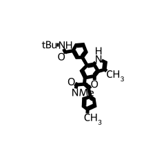 CNC(=O)c1c(-c2ccc(C)cc2)oc2c1cc(-c1cccc(C(=O)NC(C)(C)C)c1)c1[nH]cc(C)c12